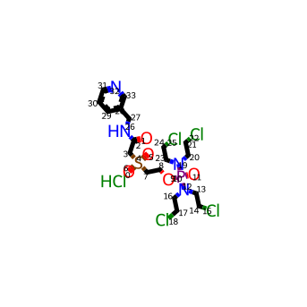 Cl.O=C(CS(=O)(=O)CCOP(=O)(N(CCCl)CCCl)N(CCCl)CCCl)NCc1cccnc1